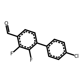 O=Cc1ccc(-c2ccc(Cl)cc2)c(F)c1F